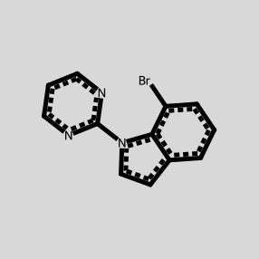 Brc1cccc2ccn(-c3ncccn3)c12